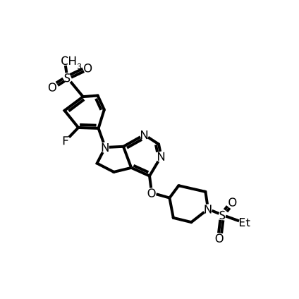 CCS(=O)(=O)N1CCC(Oc2ncnc3c2CCN3c2ccc(S(C)(=O)=O)cc2F)CC1